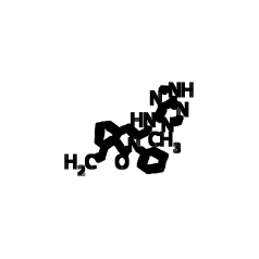 C=Cc1cccc2cc(C(C)Nc3ncnc4[nH]cnc34)n(-c3ccccc3)c(=O)c12